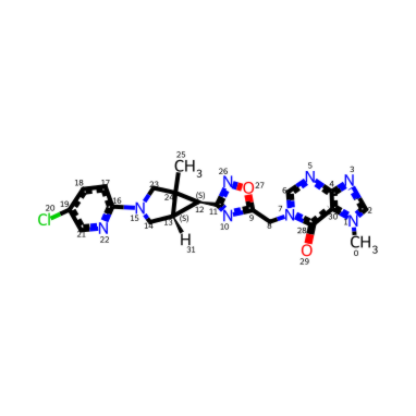 Cn1cnc2ncn(Cc3nc([C@H]4[C@@H]5CN(c6ccc(Cl)cn6)CC54C)no3)c(=O)c21